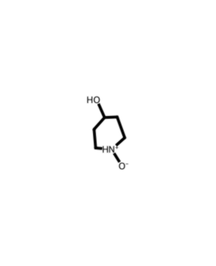 [O-][NH+]1CCC(O)CC1